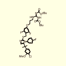 COc1cc(C(C)(C)c2cnc(SCc3c(F)cc(OCCCNC(=NC(=O)OC(C)(C)C)NC(=O)OC(C)(C)C)cc3F)n2-c2ccc(F)cc2)ccc1Cl